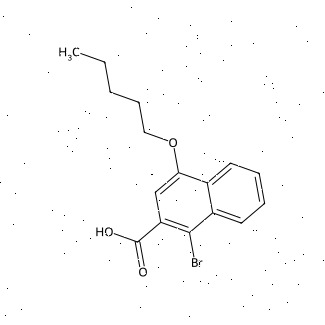 CCCCCOc1cc(C(=O)O)c(Br)c2ccccc12